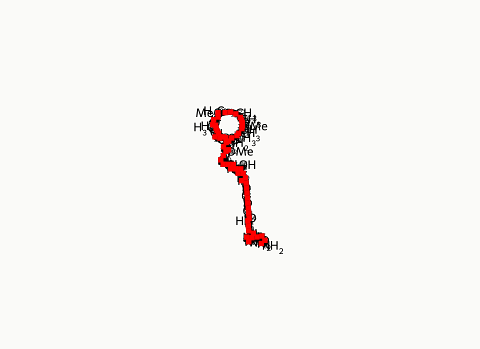 COC1C[C@@H]2CC[C@@H](C)[C@@](O)(O2)C(=O)C(=O)N2CCCC[C@H]2C(=O)OC([C@H](N)CC2CCC(OCc3cccc(-c4cnc(N5CCN(Cc6cn(CCOCCOCCOCCOCCC(=O)NCCCCn7nc(-c8ccc9oc(N)nc9c8)c8c(N)ncnc87)nn6)C(CO)C5)nc4)c3)[C@H](OC)C2)CC(=O)C(C)/C=C(\C)C(O)[C@@H](OC)C(=O)C(C)CC(C)/C=C/C=C/C=C/1C